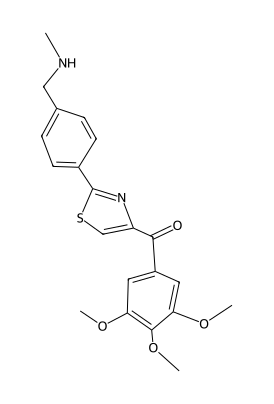 CNCc1ccc(-c2nc(C(=O)c3cc(OC)c(OC)c(OC)c3)cs2)cc1